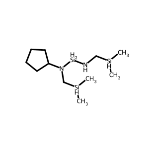 C[SiH](C)CN[SiH2]N(C[SiH](C)C)C1CCCC1